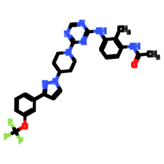 CC(=O)Nc1cccc(Nc2ncnc(N3CCC(n4ccc(-c5cccc(OC(F)(F)F)c5)n4)CC3)n2)c1C